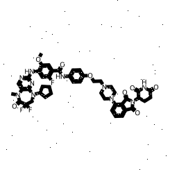 COc1cc(C(=O)Nc2ccc(OCCN3CCN(c4cccc5c4C(=O)N(C4CCC(=O)NC4=O)C5=O)CC3)cc2)c(F)cc1Nc1ncc2c(n1)N(C1CCCC1)CC(F)(F)C(=O)N2C